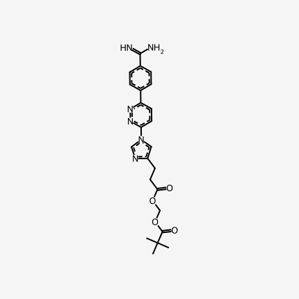 CC(C)(C)C(=O)OCOC(=O)CCc1cn(-c2ccc(-c3ccc(C(=N)N)cc3)nn2)cn1